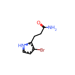 NC(=O)CCc1[nH]ccc1Br